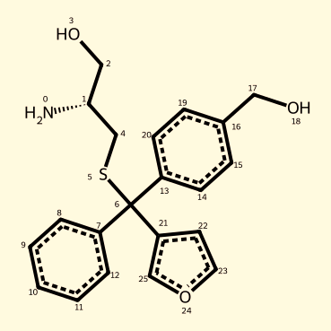 N[C@H](CO)CSC(c1ccccc1)(c1ccc(CO)cc1)c1ccoc1